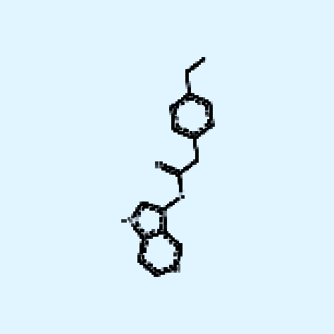 CCc1ccc(CC(=O)Nc2c[nH]c3ccncc23)cc1